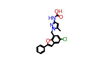 Cc1cc(NC(=O)O)nn1Cc1cc(Cl)cc2cc(-c3ccccc3)oc12